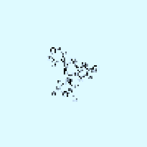 CC1COCCN1c1nc(N2C[C@@H](C)O[C@@H](C)C2)c2ccc(Cl)nc2n1